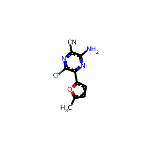 Cc1ccc(-c2nc(N)c(C#N)nc2Cl)o1